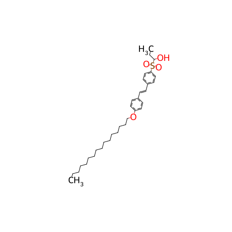 CCCCCCCCCCCCCCCCOc1ccc(C=Cc2ccc(S(=O)(=O)C(O)CC)cc2)cc1